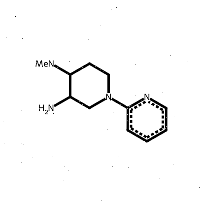 CNC1CCN(c2ccccn2)CC1N